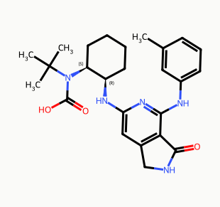 Cc1cccc(Nc2nc(N[C@@H]3CCCC[C@@H]3N(C(=O)O)C(C)(C)C)cc3c2C(=O)NC3)c1